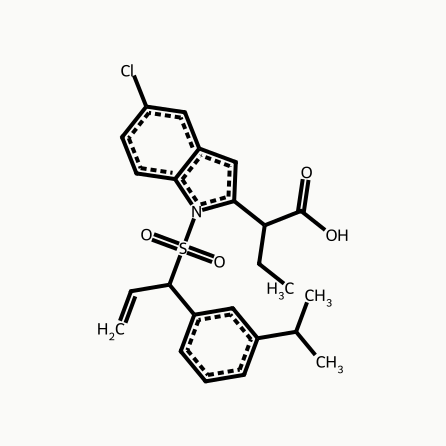 C=CC(c1cccc(C(C)C)c1)S(=O)(=O)n1c(C(CC)C(=O)O)cc2cc(Cl)ccc21